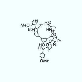 CCn1c(-c2cnccc2COC)c2c3cc(ccc31)-c1cc(O)cc(c1)C[C@H](NC(=O)C(C(C)C)N(C)C(=O)CN(C)C(=O)[C@@H]1N[C@@H]1c1ccc(OC)cc1)C(=O)N1CCC[C@H](N1)C(=O)OCC(C)(C)C2